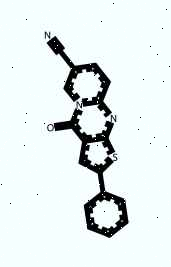 N#Cc1ccc2nc3sc(-c4ccccc4)cc3c(=O)n2c1